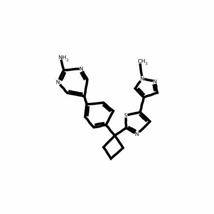 Cn1cc(-c2cnc(C3(c4ccc(-c5cnc(N)nc5)cc4)CCC3)s2)cn1